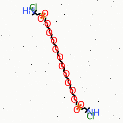 CC(C)(CCS(=O)(=O)CCOCCOCCOCCOCCOCCOCCOCCOCCOCCOCCS(=O)(=O)CCC(C)(C)NCl)NCl